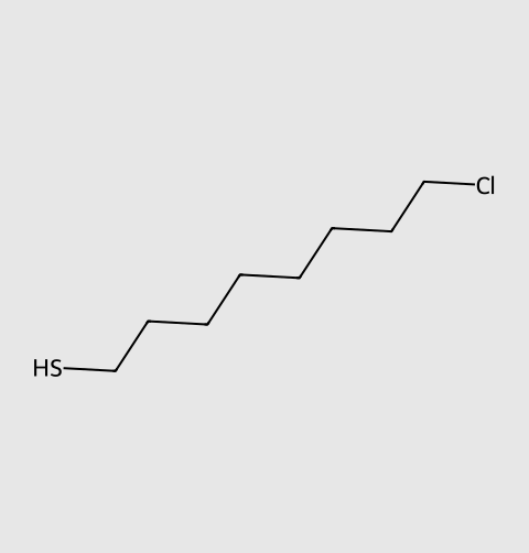 SCCCCCCCCCl